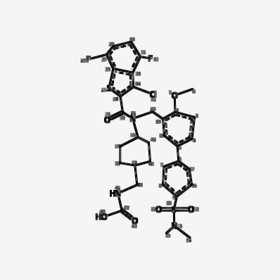 COc1ccc(-c2ccc(S(=O)(=O)N(C)C)cc2)cc1CN(C(=O)c1sc2c(F)ccc(F)c2c1Cl)C1CCC(CNC(=O)O)CC1